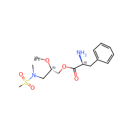 CC(C)O[C@H](COC(=O)[C@@H](N)Cc1ccccc1)CN(C)S(C)(=O)=O